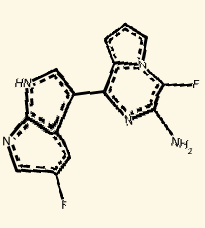 Nc1nc(-c2c[nH]c3ncc(F)cc23)c2cccn2c1F